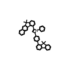 CC1(C)c2cc3ccccc3cc2-c2c(C3=CC(c4ccc(-c5cccc6c5C(C)(C)c5ccccc5-6)cc4)N3c3ccccc3)cccc21